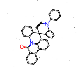 O=c1c2ccccc2c2cccc3c2n1-c1ccccc1C31c2ccccc2N(c2ccccc2)c2ccccc21